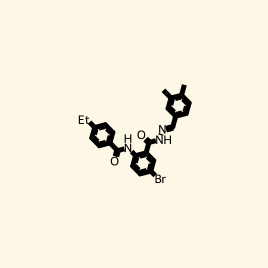 CCc1ccc(C(=O)Nc2ccc(Br)cc2C(=O)NN=Cc2ccc(C)c(C)c2)cc1